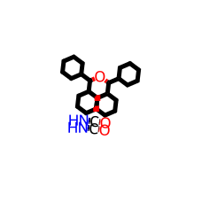 C1CCC(C(OC(C2CCCCC2)C2CCCCC2)C2CCCCC2)CC1.N=C=O.N=C=O